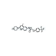 Cc1cc(N2CCN(C)CC2)nc2ccc(NC(=O)COc3ccc(C(F)(F)F)cc3)cc12